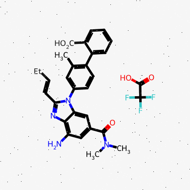 CCC=Cc1nc2c(N)cc(C(=O)N(C)C)cc2n1-c1ccc(-c2ccccc2C(=O)O)c(C)c1.O=C(O)C(F)(F)F